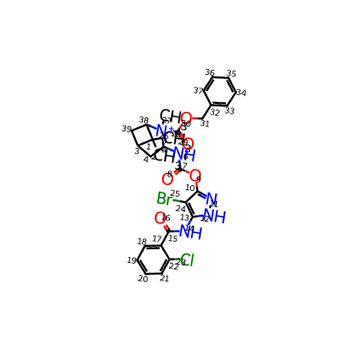 CC1(C)C2CC(NC(=O)Oc3n[nH]c(NC(=O)c4ccccc4Cl)c3Br)[N+](C)(C(=O)OCc3ccccc3)C1C2